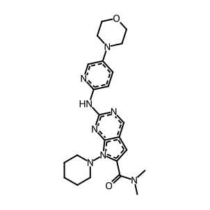 CN(C)C(=O)c1cc2cnc(Nc3ccc(N4CCOCC4)cn3)nc2n1N1CCCCC1